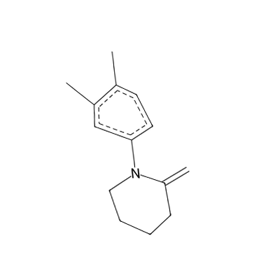 C=C1CCCCN1c1ccc(C)c(C)c1